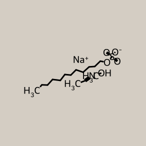 CC#N.CCCCCCCCCCCCOS(=O)(=O)[O-].CO.[Na+]